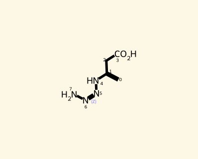 C=C(CC(=O)O)N/N=N\N